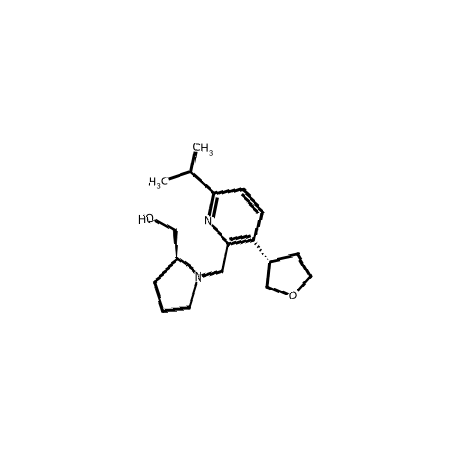 CC(C)c1ccc([C@@H]2CCOC2)c(CN2CCC[C@H]2CO)n1